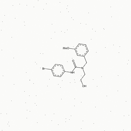 COc1cccc(CN(CCO)C(=O)Nc2ccc(Br)cc2)c1